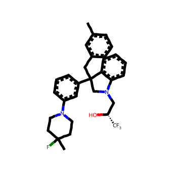 Cc1cccc(CC2(c3cccc(N4CCC(C)(F)CC4)c3)CN(C[C@@H](O)C(F)(F)F)c3ccccc32)c1